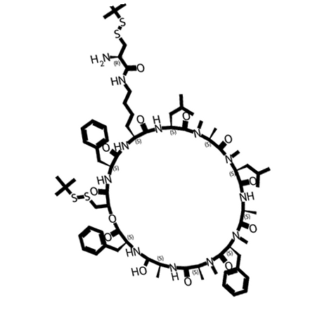 CC(C)C[C@@H]1NC(=O)[C@H](CCCCNC(=O)[C@@H](N)CSSC(C)(C)C)NC(=O)[C@H](Cc2ccccc2)NC(=O)C(CSSC(C)(C)C)OC(=O)[C@H](Cc2ccccc2)NC(O)[C@H](C)NC(=O)[C@H](C)N(C)C(=O)[C@H](Cc2ccccc2)N(C)C(=O)[C@H](C)NC(=O)[C@H](CC(C)C)N(C)C(=O)[C@H](C)N(C)C1=O